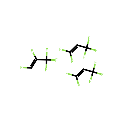 FC(F)=CC(F)(F)F.FC(F)=CC(F)(F)F.FC=C(F)C(F)(F)F